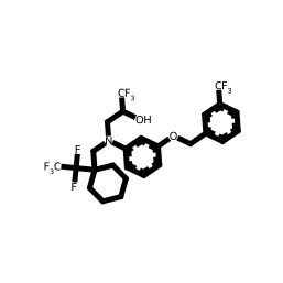 OC(CN(CC1(C(F)(F)C(F)(F)F)CCCCC1)c1cccc(OCc2cccc(C(F)(F)F)c2)c1)C(F)(F)F